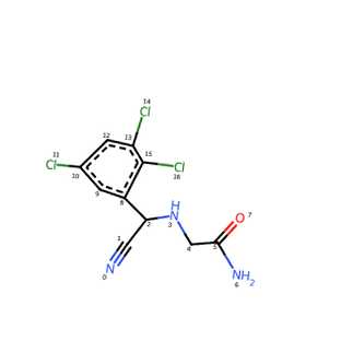 N#CC(NCC(N)=O)c1cc(Cl)cc(Cl)c1Cl